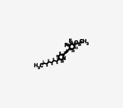 CCCCCCCc1ccc(C#Cc2ccc(OCC)c(F)c2F)nc1